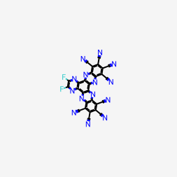 N#Cc1c(C#N)c(C#N)c2nc3c(nc2c1C#N)c1nc(F)c(F)nc1c1nc2c(C#N)c(C#N)c(C#N)c(C#N)c2nc13